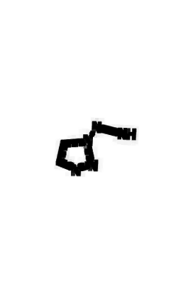 N=Nn1ccnn1